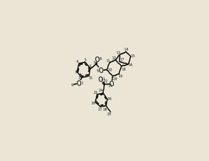 COc1cccc(C(=O)OC2CC3C4CCC(C4)C3CC2OC(=O)c2cccc(C)c2)c1